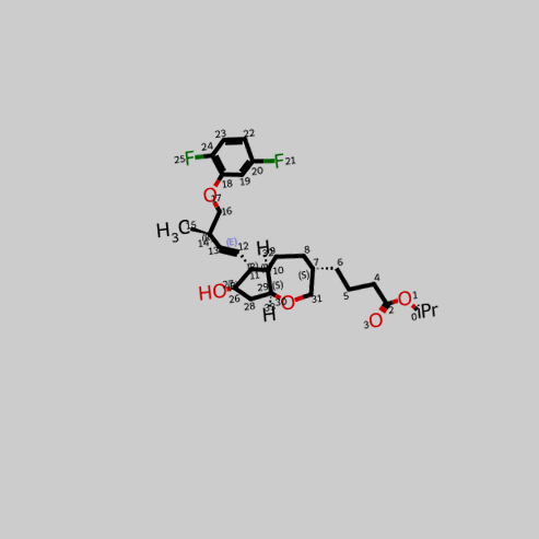 CC(C)OC(=O)CCC[C@H]1CC[C@@H]2[C@@H](/C=C/[C@@H](C)COc3cc(F)ccc3F)[C@H](O)C[C@@H]2OC1